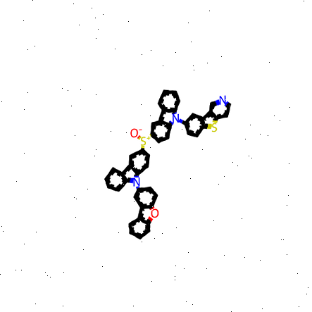 [O-][S+](c1ccc2c(c1)c1ccccc1n2-c1ccc2oc3ccccc3c2c1)c1ccc2c(c1)c1ccccc1n2-c1ccc2sc3ccncc3c2c1